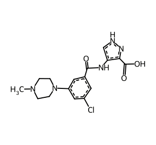 CN1CCN(c2cc(Cl)cc(C(=O)Nc3c[nH]nc3C(=O)O)c2)CC1